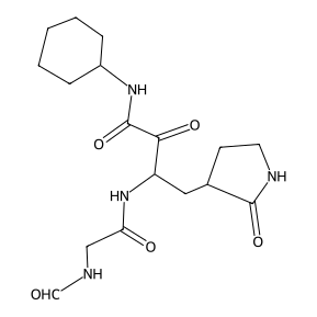 O=CNCC(=O)NC(CC1CCNC1=O)C(=O)C(=O)NC1CCCCC1